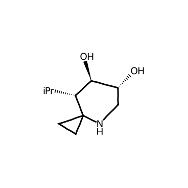 CC(C)[C@@H]1[C@@H](O)[C@H](O)CNC12CC2